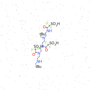 CC(C)(C)CNCCN(CCN(CCN(CCNC(=O)C(F)(F)S(=O)(=O)O)CC(C)(C)C)C(=O)C(F)(F)S(=O)(=O)O)C(=O)C(F)(F)S(=O)(=O)O